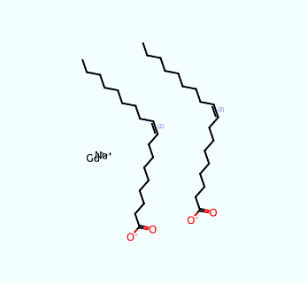 CCCCCCCC/C=C\CCCCCCCC(=O)[O-].CCCCCCCC/C=C\CCCCCCCC(=O)[O-].[Gd+3].[Na+]